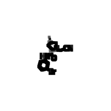 C[C@H]1C[C@@H](C(=O)Nc2cccc(Br)c2)N(CC#N)C1